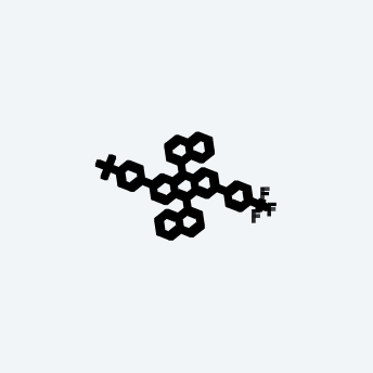 CC(C)(C)c1ccc(-c2ccc3c(-c4cccc5ccccc45)c4cc(-c5ccc(C(F)(F)F)cc5)ccc4c(-c4cccc5ccccc45)c3c2)cc1